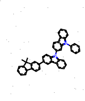 CC1(C)c2ccccc2-c2ccc(-c3ccc4c(c3)c3ccccc3n4-c3ccc4c5ccccc5n(-c5ccccc5)c4c3)cc21